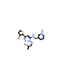 C=C(Br)/C=N\N(C)/C(=C\C(=N/C)c1sccc1Br)NCc1ccc[n+]([O-])c1